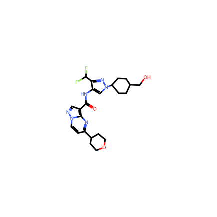 O=C(Nc1cn(C2CCC(CO)CC2)nc1C(F)F)c1cnn2ccc(C3CCOCC3)nc12